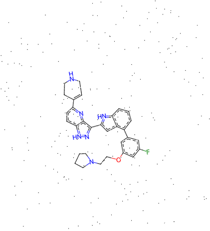 Fc1cc(OCCN2CCCC2)cc(-c2cccc3[nH]c(-c4n[nH]c5ccc(C6=CCNCC6)nc45)cc23)c1